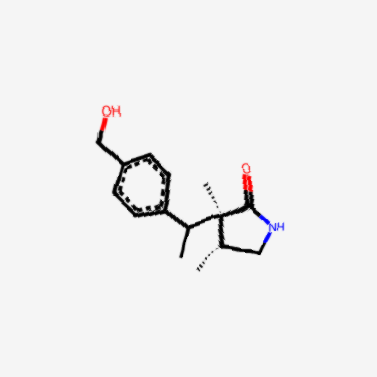 CC(c1ccc(CO)cc1)[C@@]1(C)C(=O)NC[C@@H]1C